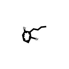 CCC[CH]c1c(Br)cccc1Br